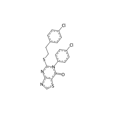 O=c1c2scnc2nc(SCCc2ccc(Cl)cc2)n1-c1ccc(Cl)cc1